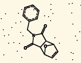 O=C1C2C3C=CC(O3)C2C(=O)N1Cc1ccccc1